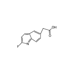 O=C(O)Cc1ccc2nc(F)ccc2c1